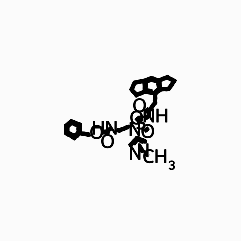 Cn1cc(N(CCNC(=O)OCc2ccccc2)S(=O)(=O)NC(=O)Cc2c3c(cc4c2CCC4)CCC3)cn1